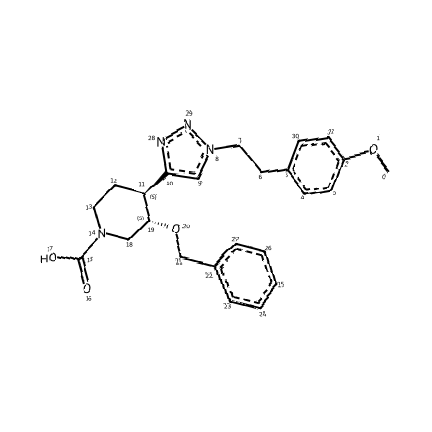 COc1ccc(CCn2cc([C@@H]3CCN(C(=O)O)C[C@H]3OCc3ccccc3)nn2)cc1